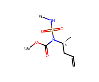 C=CC[C@@H](C)N(C(=O)OC(C)(C)C)S(=O)(=O)NCC